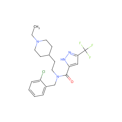 CCN1CCC(CCN(Cc2ccccc2Cl)C(=O)c2cc(C(F)(F)F)n[nH]2)CC1